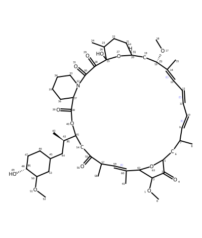 COC1C(=O)C2CC(C)/C=C/C=C/C=C(\C)[C@@H](OC)C[C@@H]3CCC(C)C(O)(O3)C(=O)C(=O)N3CCCCC3C(=O)OC([C@H](C)CC3CC[C@@H](O)C(OC)C3)CC(=O)C(C)/C=C(\C)C1O2